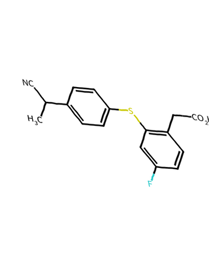 CC(C#N)c1ccc(Sc2cc(F)ccc2CC(=O)O)cc1